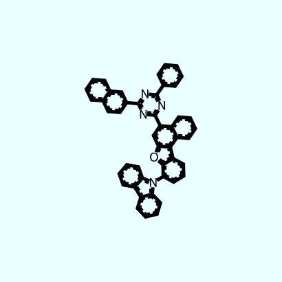 c1ccc(-c2nc(-c3ccc4ccccc4c3)nc(-c3cc4oc5c(-n6c7ccccc7c7ccccc76)cccc5c4c4ccccc34)n2)cc1